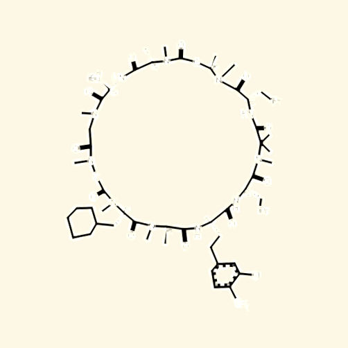 CC[C@H](C)[C@@H]1NC(=O)[C@H](C)N(C)C(=O)C[C@@H](C)N(C)C(=O)[C@H](CC(C)C)NC(=O)C(C)(C)N(C)C(=O)[C@H](CC(C)C)NC(=O)[C@H](CCc2ccc(C(F)(F)F)c(Cl)c2)NC(=O)[C@@H](C)N(C)C(=O)[C@H](CC2CCCCC2)N(C)C(=O)CN(C)C(=O)CN(C)C1=O